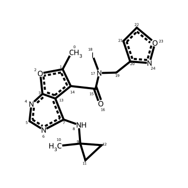 Cc1oc2ncnc(NC3(C)CC3)c2c1C(=O)N(I)Cc1ccon1